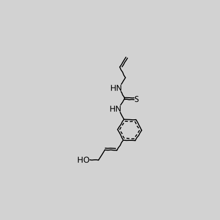 C=CCNC(=S)Nc1cccc(/C=C/CO)c1